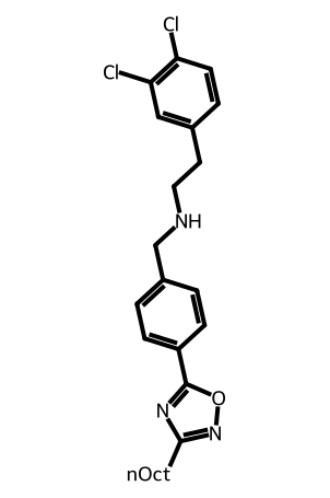 CCCCCCCCc1noc(-c2ccc(CNCCc3ccc(Cl)c(Cl)c3)cc2)n1